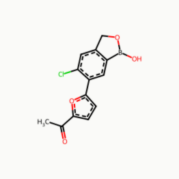 CC(=O)c1ccc(-c2cc3c(cc2Cl)COB3O)o1